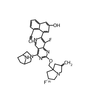 C#Cc1cccc2cc(O)cc(-c3ncc4c(N5CC6CCC(C5)N6)nc(OCC56CC(=C)CN5C[C@H](F)C6)nc4c3F)c12